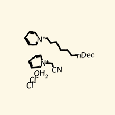 CCCCCCCCCCCCCCCC[n+]1ccccc1.N#CC[n+]1ccccc1.O.[Cl-].[Cl-]